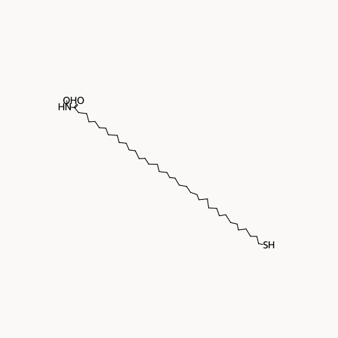 O=C(CCCCCCCCCCCCCCCCCCCCCCCCCCCCCCCCCCCCCS)NO